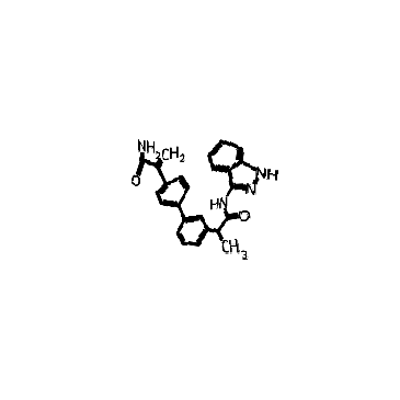 C=C(C(N)=O)c1ccc(-c2cccc(C(C)C(=O)Nc3n[nH]c4ccccc34)c2)cc1